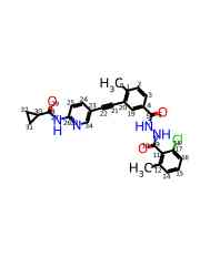 Cc1ccc(C(=O)NNC(=O)c2c(C)cccc2Cl)cc1C#Cc1ccc(NC(=O)C2CC2)nc1